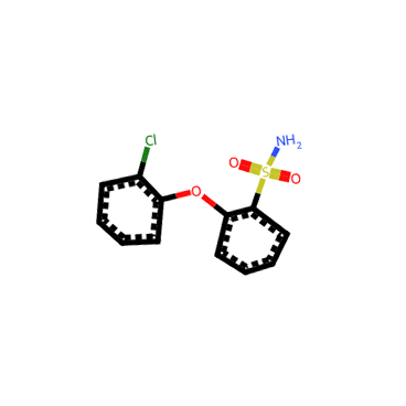 NS(=O)(=O)c1ccccc1Oc1ccccc1Cl